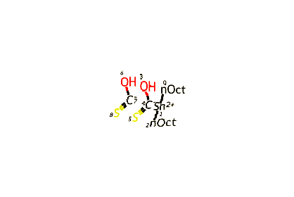 CCCCCCC[CH2][Sn+2][CH2]CCCCCCC.O[C-]=S.O[C-]=S